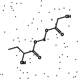 CCC(O)C(=O)OSOC(=O)CO